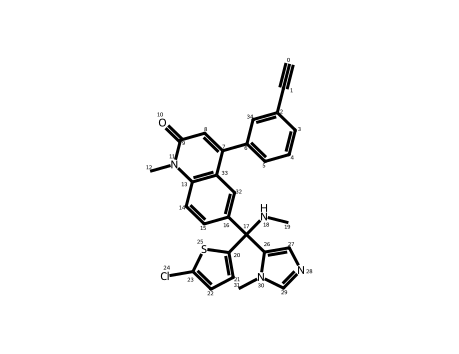 C#Cc1cccc(-c2cc(=O)n(C)c3ccc(C(NC)(c4ccc(Cl)s4)c4cncn4C)cc23)c1